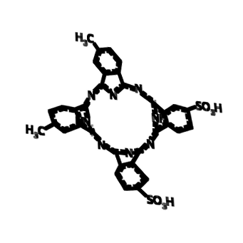 Cc1ccc2c(c1)-c1nc-2nc2[nH]c(nc3nc(nc4[nH]c(n1)c1ccc(C)cc41)-c1ccc(S(=O)(=O)O)cc1-3)c1ccc(S(=O)(=O)O)cc21